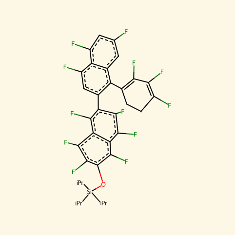 CC(C)[Si](Oc1c(F)c(F)c2c(F)c(-c3cc(F)c4c(F)cc(F)cc4c3C3=C(F)C(F)=C(F)[CH]C3)c(F)c(F)c2c1F)(C(C)C)C(C)C